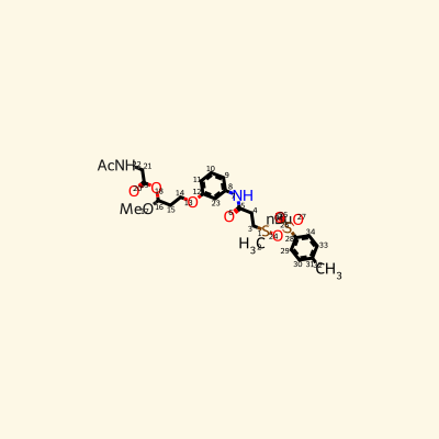 CCCCS(C)(CCC(=O)Nc1cccc(OCCC(OC)OC(=O)CNC(C)=O)c1)OS(=O)(=O)c1ccc(C)cc1